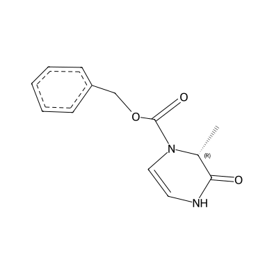 C[C@@H]1C(=O)NC=CN1C(=O)OCc1ccccc1